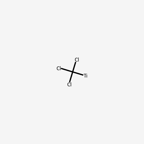 Cl[C](Cl)(Cl)[Ti]